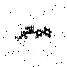 Cc1ccc(F)cc1-c1ccc(CNC(=N)NNC(=O)CN)c(F)c1